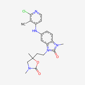 CN1CC(C)(CCn2c(=O)n(C)c3ccc(Nc4ccnc(Cl)c4C#N)cc32)OC1=O